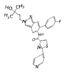 CC(C)(O)CCn1cc2cc(NC(=O)c3csc(-c4ccncc4)n3)c(-c3ccc(F)cc3)cc2n1